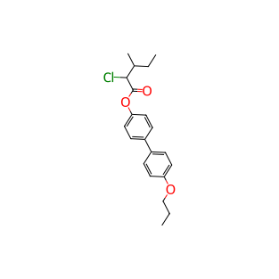 CCCOc1ccc(-c2ccc(OC(=O)C(Cl)C(C)CC)cc2)cc1